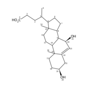 CC(CCC(=O)O)C1CCC2C3C(CCC12C)C1(C)CC[C@H](O)CC1=C[C@@H]3O